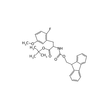 COc1ccc(F)c(CC(NC(=O)OCC2c3ccccc3-c3ccccc32)C(=O)OC(C)(C)C)c1